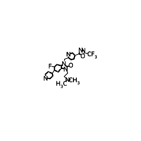 CN(C)CCn1c(=O)n(Cc2ccc(-c3nnc(C(F)(F)F)o3)cn2)c2cc(F)c(-c3ccncc3)cc21